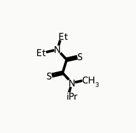 CCN(CC)C(=S)C(=S)N(C)C(C)C